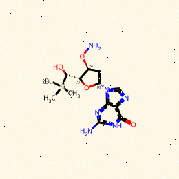 CC(C)(C)[Si](C)(C)C(O)[C@H]1O[C@@H](n2cnc3c(=O)[nH]c(N)nc32)C[C@@H]1ON